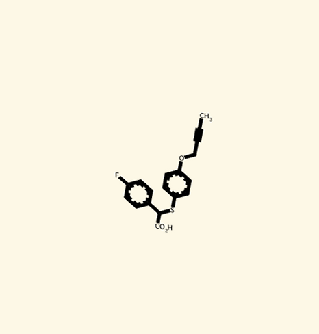 CC#CCOc1ccc(SC(C(=O)O)c2ccc(F)cc2)cc1